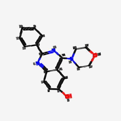 Oc1ccc2nc(-c3ccccc3)nc(N3CCOCC3)c2c1